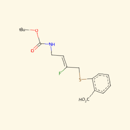 CC(C)(C)OC(=O)NC/C=C(\F)CSc1ccccc1C(=O)O